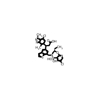 CC[C@@H]1CN(Cc2cc(C(CC(=O)O)c3cc(Cl)c4c(nnn4C)c3C)cc3ccsc23)S(O)(O)c2cc(Cl)cnc2O1